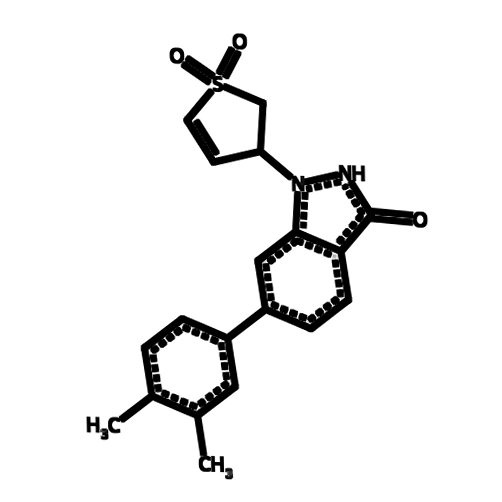 Cc1ccc(-c2ccc3c(=O)[nH]n(C4C=CS(=O)(=O)C4)c3c2)cc1C